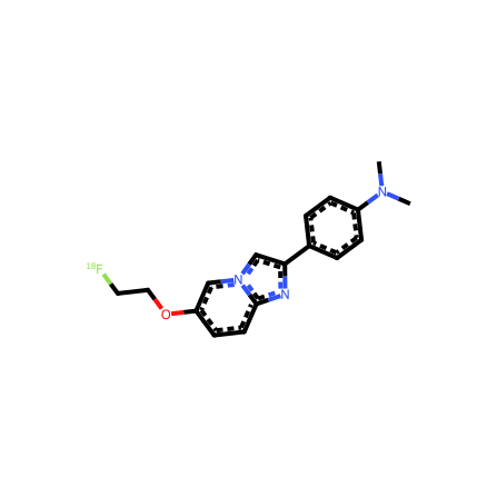 CN(C)c1ccc(-c2cn3cc(OCC[18F])ccc3n2)cc1